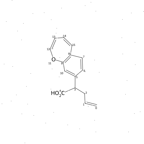 C=CCC(C(=O)O)c1ccc2c(c1)OC=CC=C2